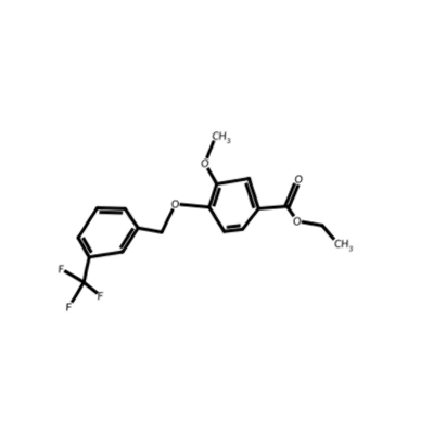 CCOC(=O)c1ccc(OCc2cccc(C(F)(F)F)c2)c(OC)c1